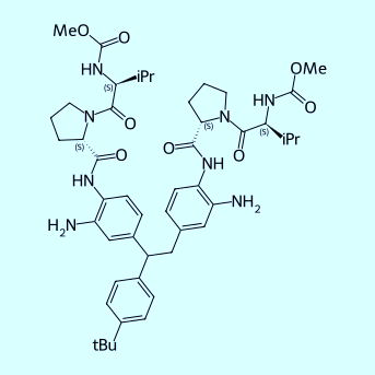 COC(=O)N[C@H](C(=O)N1CCC[C@H]1C(=O)Nc1ccc(CC(c2ccc(C(C)(C)C)cc2)c2ccc(NC(=O)[C@@H]3CCCN3C(=O)[C@@H](NC(=O)OC)C(C)C)c(N)c2)cc1N)C(C)C